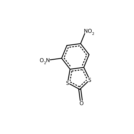 O=c1sc2cc([N+](=O)[O-])cc([N+](=O)[O-])c2s1